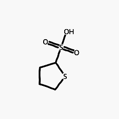 O=S(=O)(O)C1CCCS1